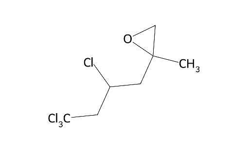 CC1(CC(Cl)CC(Cl)(Cl)Cl)CO1